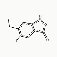 CCc1cc2[nH]oc(=O)c2cc1I